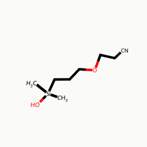 C[Si](C)(O)CCCOCCC#N